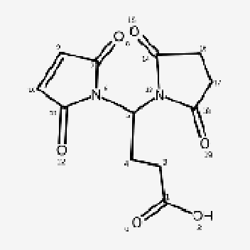 O=C(O)CCC(N1C(=O)C=CC1=O)N1C(=O)CCC1=O